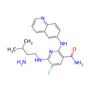 CC(C)[C@@H](N)CNc1nc(Nc2ccc3ncccc3c2)c(C(N)=O)cc1F